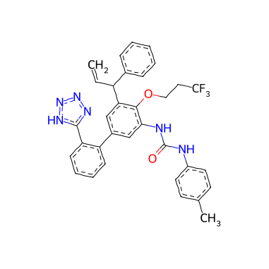 C=CC(c1ccccc1)c1cc(-c2ccccc2-c2nnn[nH]2)cc(NC(=O)Nc2ccc(C)cc2)c1OCCC(F)(F)F